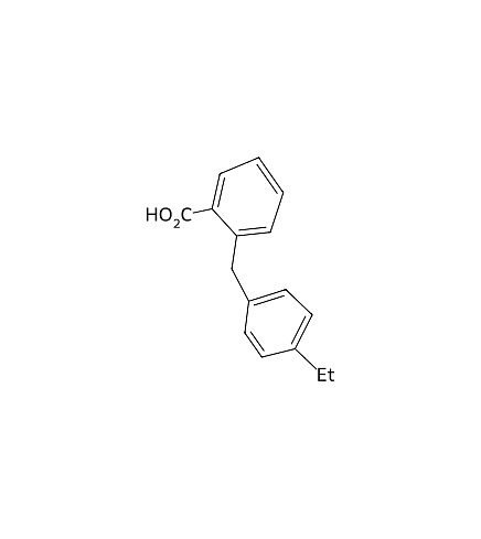 CCc1ccc(Cc2ccccc2C(=O)O)cc1